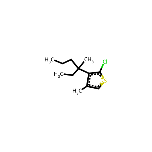 CCCC(C)(CC)c1c(C)csc1Cl